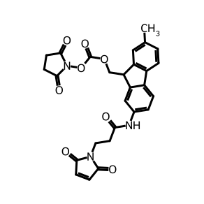 Cc1ccc2c(c1)C(COC(=O)ON1C(=O)CCC1=O)c1cc(NC(=O)CCN3C(=O)C=CC3=O)ccc1-2